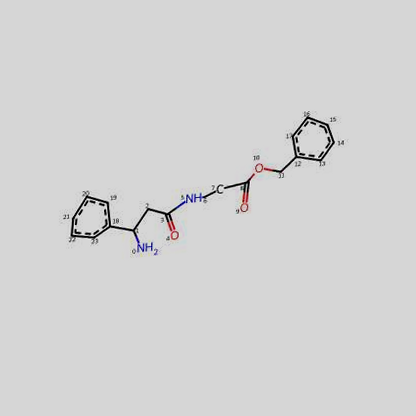 NC(CC(=O)NCCC(=O)OCc1ccccc1)c1ccccc1